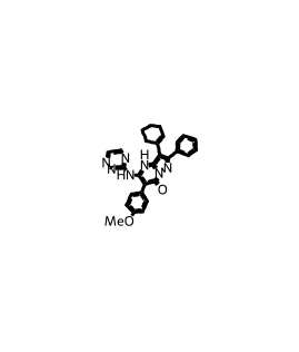 COc1ccc(-c2c(Nc3nccnn3)[nH]c3c(C4=CCCCC4)c(-c4ccccc4)nn3c2=O)cc1